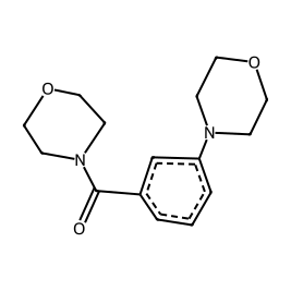 O=C(c1cccc(N2CCOCC2)c1)N1CCOCC1